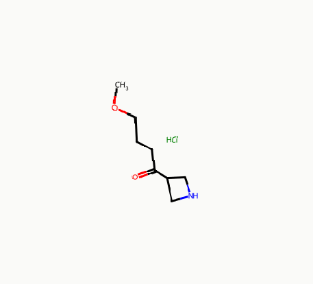 COCCCC(=O)C1CNC1.Cl